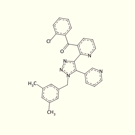 Cc1cc(C)cc(Cn2nnc(-c3ncccc3C(=O)c3ccccc3Cl)c2-c2cccnc2)c1